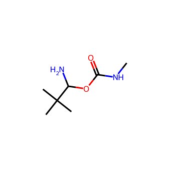 CNC(=O)OC(N)C(C)(C)C